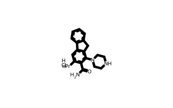 CCCc1cc2c(c(N3CCNCC3)c1C(N)=O)Cc1ccccc1-2.Cl